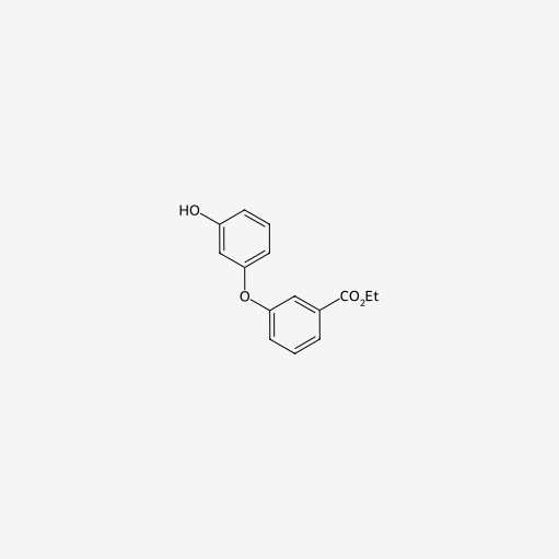 CCOC(=O)c1cccc(Oc2cccc(O)c2)c1